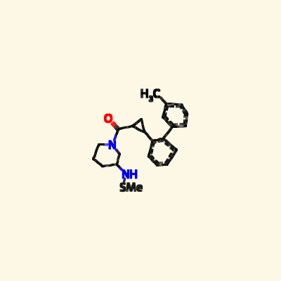 CSNC1CCCN(C(=O)C2CC2c2ccccc2-c2cccc(C)c2)C1